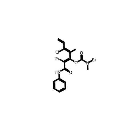 C=C/C(Cl)=C(C)/C(OC(=O)N(C)CC)=C(/C(=O)Nc1ccccc1)C(C)C